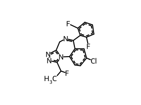 CC(F)c1nnc2n1-c1ccc(Cl)cc1C(c1c(F)cccc1F)=NC2